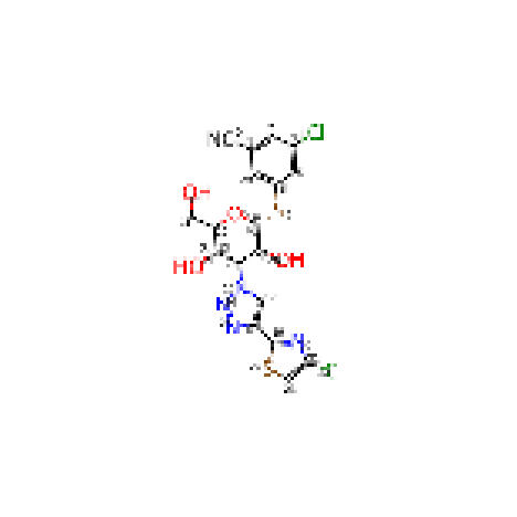 N#Cc1cc(Cl)cc(S[C@H]2OC(CO)[C@H](O)C(n3cc(-c4nc(Cl)cs4)nn3)C2O)c1